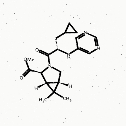 COC(=O)[C@@H]1[C@@H]2[C@H](CN1C(=O)[C@H](CC1CC1)Nc1cncnc1)C2(C)C